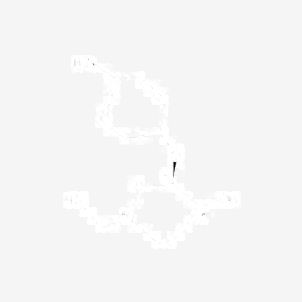 Nc1ccc(O[C@@H]2O[C@@H](CO)CC[C@H]2O)cc1